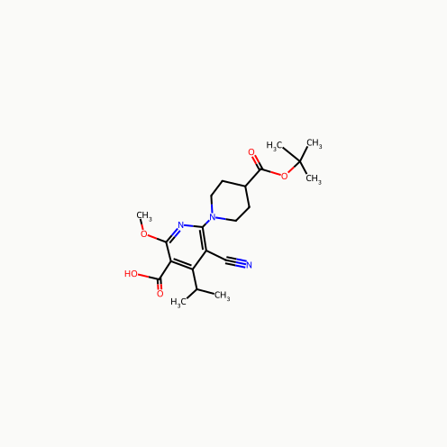 COc1nc(N2CCC(C(=O)OC(C)(C)C)CC2)c(C#N)c(C(C)C)c1C(=O)O